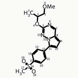 COCC(C)Oc1ncc2ccc(-c3ccc(S(C)(=O)=O)cc3)n2n1